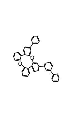 c1ccc(-c2cccc(-c3ccc4c(c3)Oc3cc(-c5ccccc5)ccc3-c3ccccc3Oc3ccccc3-4)c2)cc1